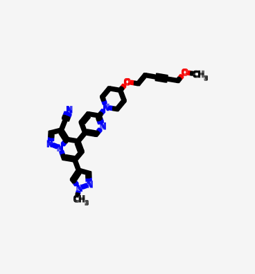 COCC#CCCOC1CCN(c2ccc(-c3cc(-c4cnn(C)c4)cn4ncc(C#N)c34)cn2)CC1